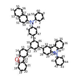 c1ccc(N(c2ccc(-c3cc(-c4ccc5oc6ccccc6c5c4)cc(-c4ccc5c(c4)c4ccccc4n5-c4ccccc4)c3)cc2)c2ccc3ccccc3c2)cc1